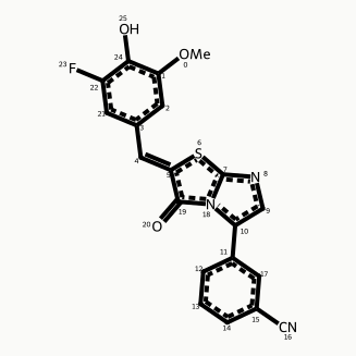 COc1cc(C=c2sc3ncc(-c4cccc(C#N)c4)n3c2=O)cc(F)c1O